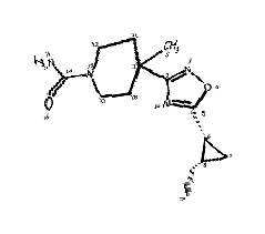 CC1(c2noc([C@@H]3C[C@@H]3F)n2)CCN(C(N)=O)CC1